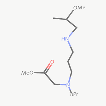 CCCN(CCCNCC(C)OC)CC(=O)OC